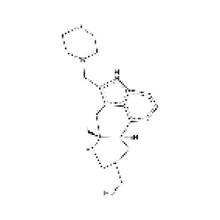 OCC1CN[C@@H]2Cc3c(CN4CCOCC4)[nH]c4cccc(c34)[C@H]2C1